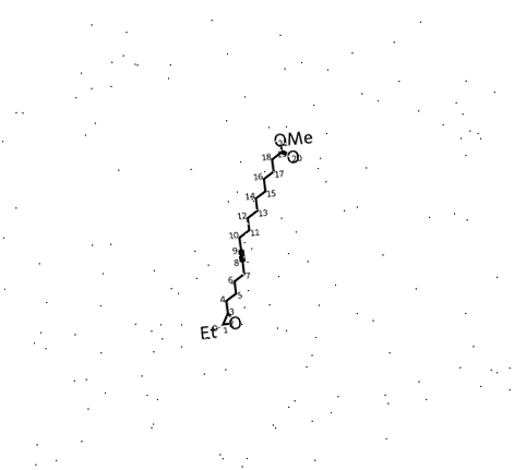 CC[C@H]1OC1CCCCC#CCCCCCCCCCC(=O)OC